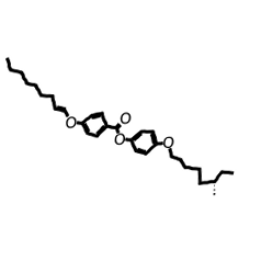 CCCCCCC/C=C/Oc1ccc(C(=O)Oc2ccc(OCCCCC[C@@H](C)CC)cc2)cc1